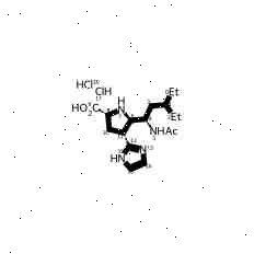 CCC(CC)C[C@H](NC(C)=O)[C@@H]1N[C@@H](C(=O)O)C[C@H]1c1ncc[nH]1.Cl.Cl